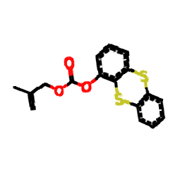 C=C(C)COC(=O)Oc1cccc2c1Sc1ccccc1S2